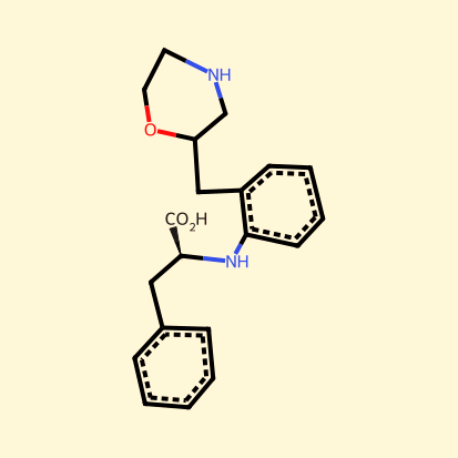 O=C(O)[C@H](Cc1ccccc1)Nc1ccccc1CC1CNCCO1